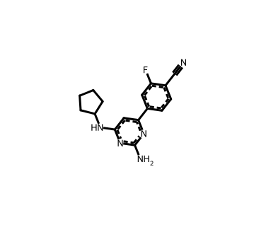 N#Cc1ccc(-c2cc(NC3CCCC3)nc(N)n2)cc1F